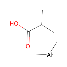 CC(C)C(=O)O.[CH3][Al][CH3]